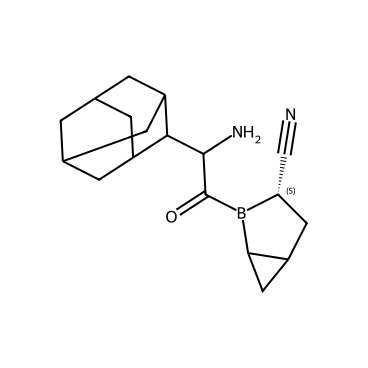 N#C[C@@H]1CC2CC2B1C(=O)C(N)C1C2CC3CC(C2)CC1C3